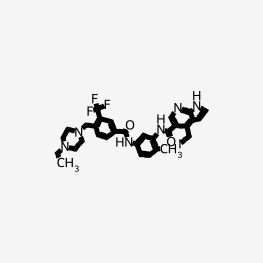 CCN1CCN(Cc2ccc(C(=O)Nc3ccc(C)c(NC(=O)c4cnc5[nH]ccc5c4CI)c3)cc2C(F)(F)F)CC1